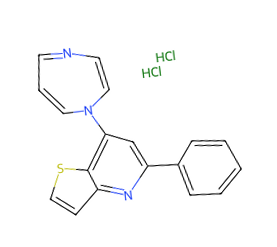 C1=CN(c2cc(-c3ccccc3)nc3ccsc23)C=CN=C1.Cl.Cl